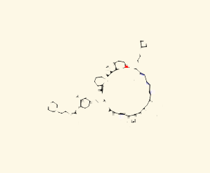 CO[C@@H]1C[C@H](CC[C@@H]2CC(=O)[C@H](C)/C=C(\C)[C@@H](O)[C@@H](OC)C(=O)[C@H](C)C[C@H](C)/C=C/C=C/C=C(\C)C(OCCOC3COC3)C[C@@H]3CC[C@@H](C)[C@@](O)(O3)C(=O)C(=O)N3CCCC[C@H]3C(=O)O2)CC[C@H]1OC(=O)N(C)CCN1CCOCC1